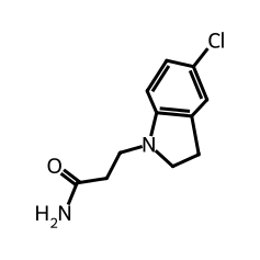 NC(=O)CCN1CCc2cc(Cl)ccc21